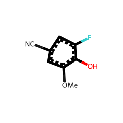 COc1cc(C#N)cc(F)c1O